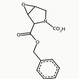 O=C(OCc1ccccc1)C1C2OC2CN1C(=O)O